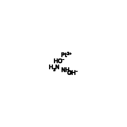 N.N.[OH-].[OH-].[Pt+2]